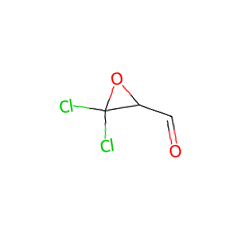 O=CC1OC1(Cl)Cl